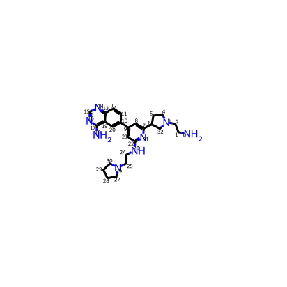 NCCN1CCC(c2cc(-c3ccc4ncnc(N)c4c3)cc(NCCN3CCCC3)n2)C1